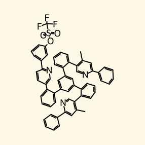 Cc1cc(-c2ccccc2)ncc1-c1ccccc1-c1cc(-c2ccccc2-c2ccc(-c3cccc(OS(=O)(=O)C(F)(F)F)c3)nc2)cc(-c2ccccc2-c2cnc(-c3ccccc3)cc2C)c1